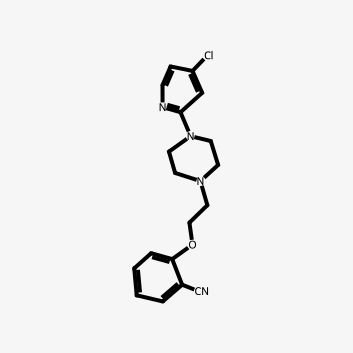 N#Cc1ccccc1OCCN1CCN(c2cc(Cl)ccn2)CC1